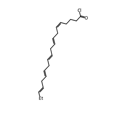 CCC=CCC=CCC=CCC=CC/C=C\CCCC(=O)Cl